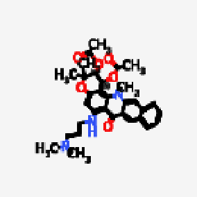 CC(=O)O[C@H]1c2c(cc(NCCCN(C)C)c3c(=O)c4cc5ccccc5cc4n(C)c23)OC(C)(C)[C@H]1OC(C)=O